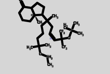 C[SiH2]OC(C)(C)CCCC(C)(C/C=C\C(O[Si](C)(C)C)(C(F)(F)F)C(F)(F)F)C1CCC2C(=O)CCC[C@@]21C